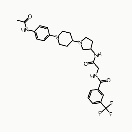 CC(=O)Nc1ccc(N2CCC(N3CCC(NC(=O)CNC(=O)c4cccc(C(F)(F)F)c4)C3)CC2)cc1